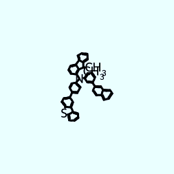 CC1(C)c2ccccc2-c2cccc(N(c3ccc(-c4ccc5sc6ccccc6c5c4)cc3)c3cccc(-c4ccc5ccccc5c4)c3)c21